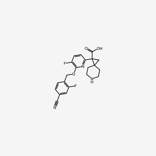 N#Cc1ccc(COc2nc(C3(C(=O)O)CC34CCNCC4)ccc2F)c(F)c1